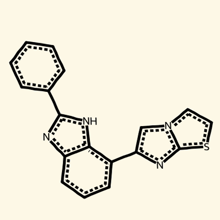 c1ccc(-c2nc3cccc(-c4cn5ccsc5n4)c3[nH]2)cc1